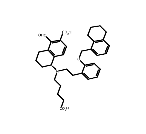 O=Cc1c(C(=O)O)ccc2c1CCC[C@@H]2N(CCCCC(=O)O)CCc1ccccc1OCc1cccc2c1CCCC2